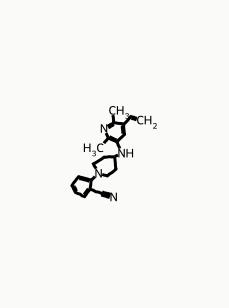 C=Cc1cc(NC2CCN(c3ccccc3C#N)CC2)c(C)nc1C